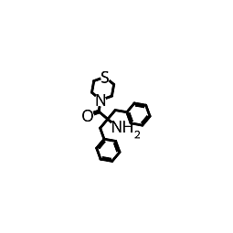 NC(Cc1ccccc1)(Cc1ccccc1)C(=O)N1CCSCC1